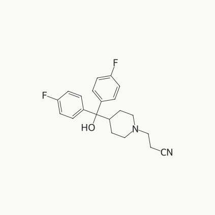 N#CCCN1CCC(C(O)(c2ccc(F)cc2)c2ccc(F)cc2)CC1